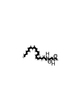 CCCCC/C=C\C/C=C\C/C=C\C/C=C\CCCCNC(=O)CNC(C)=O